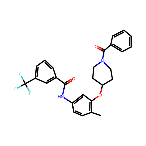 Cc1ccc(NC(=O)c2cccc(C(F)(F)F)c2)cc1OC1CCN(C(=O)c2ccccc2)CC1